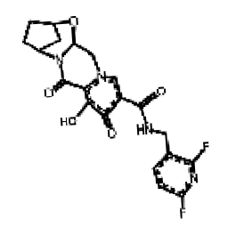 O=C(NCc1ccc(F)nc1F)c1cn2c(c(O)c1=O)C(=O)N1C3CCC(C3)OC1C2